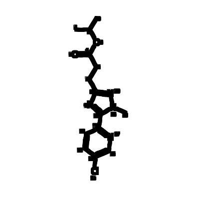 CC(C)OC(=O)CCc1nc(-c2ccc(Cl)cn2)n(C)n1